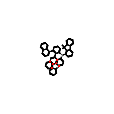 CC1(C)c2ccccc2-c2cccc(N(c3cccc(-c4ccccc4)c3)c3cccc(-c4cccc5ccccc45)c3-c3ccc4c(c3)sc3ccccc34)c21